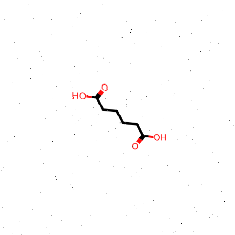 O=C(O)C[CH]CCC(=O)O